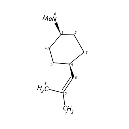 CN[C@H]1CC[C@@H](C=C(C)C)CC1